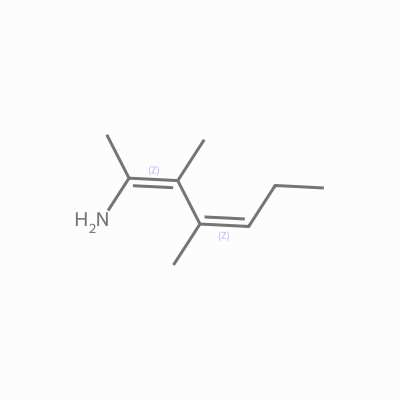 CC/C=C(C)\C(C)=C(\C)N